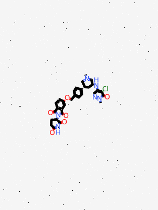 CN1C[C@H](Nc2cnn(C)c(=O)c2Cl)C[C@H](c2ccc(COc3ccc4c(c3)C(=O)N(C3CCC(=O)NC3=O)C4=O)cc2)C1